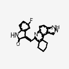 O=C1Nc2ccc(F)cc2/C1=C\c1nc2ccc3[nH]ncc3c2c2c1CCCC2